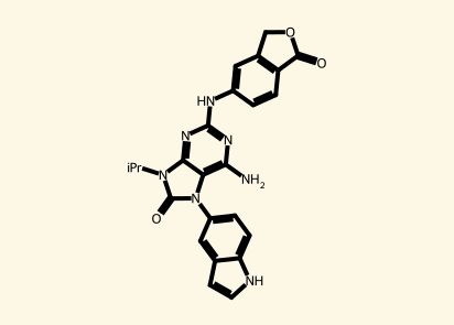 CC(C)n1c(=O)n(-c2ccc3[nH]ccc3c2)c2c(N)nc(Nc3ccc4c(c3)COC4=O)nc21